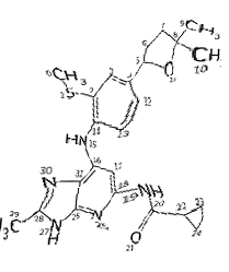 CSc1cc(C2CCC(C)(C)O2)ccc1Nc1cc(NC(=O)C2CC2)nc2[nH]c(C)nc12